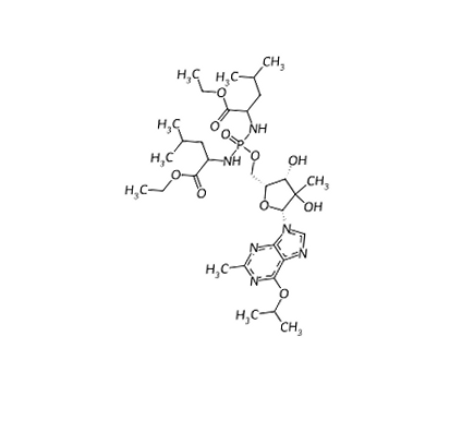 CCOC(=O)C(CC(C)C)NP(=O)(NC(CC(C)C)C(=O)OCC)OC[C@H]1O[C@@H](n2cnc3c(OC(C)C)nc(C)nc32)C(C)(O)[C@H]1O